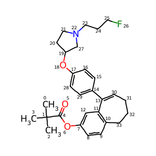 CC(C)(C)C(=O)Oc1ccc2c(c1)C(c1ccc(OC3CCN(CCCF)C3)cc1)=CCCC2